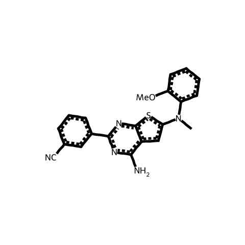 COc1ccccc1N(C)c1cc2c(N)nc(-c3cccc(C#N)c3)nc2s1